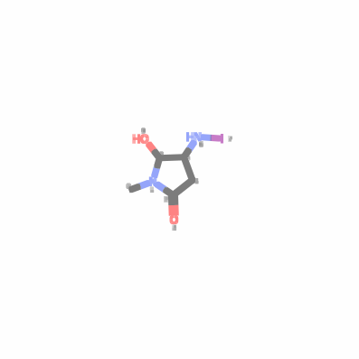 CN1C(=O)CC(NI)C1O